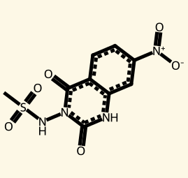 CS(=O)(=O)Nn1c(=O)[nH]c2cc([N+](=O)[O-])ccc2c1=O